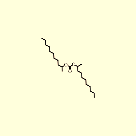 CCCCCCCCCC(C)OC(=O)OC(C)CCCCCCCCC